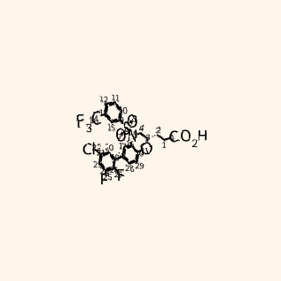 O=C(O)CC[C@H]1CN(S(=O)(=O)c2cccc(C(F)(F)F)c2)c2cc(-c3cc(Cl)cc(F)c3F)ccc2O1